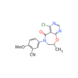 COc1ccc(N2CC(C)Oc3ncnc(Cl)c3C2=O)cc1C#N